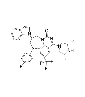 C[C@@H]1CN(c2nc(=O)n3c4c(cc(C(F)(F)F)cc24)[SH](c2ccc(F)cc2)C[C@@H](n2ccc4cccnc42)C3)C[C@H](C)N1